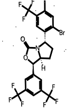 Cc1cc(Br)c([C@@H]2CC[C@H]3[C@@H](c4cc(C(F)(F)F)cc(C(F)(F)F)c4)OC(=O)N23)cc1C(F)(F)F